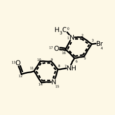 Cn1cc(Br)cc(Nc2ccc(C=O)cn2)c1=O